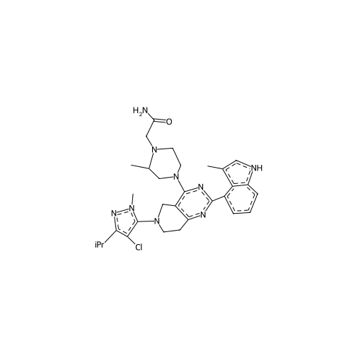 Cc1c[nH]c2cccc(-c3nc4c(c(N5CCN(CC(N)=O)C(C)C5)n3)CN(c3c(Cl)c(C(C)C)nn3C)CC4)c12